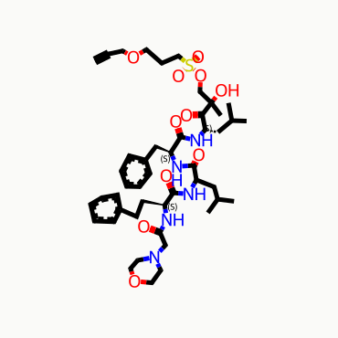 C#CCOCCCS(=O)(=O)OCC(C)(O)C(=O)[C@H](CC(C)C)NC(=O)[C@H](Cc1ccccc1)NC(=O)C(CC(C)C)NC(=O)[C@H](CCc1ccccc1)NC(=O)CN1CCOCC1